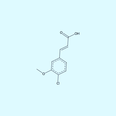 COc1cc(C=CC(=O)O)ccc1Cl